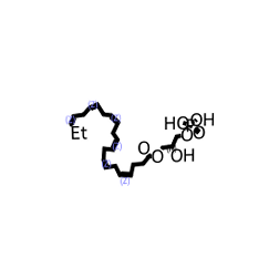 CC/C=C\C/C=C\C/C=C\C/C=C\C/C=C\C/C=C\CCC(=O)OC[C@@H](O)COP(=O)(O)O